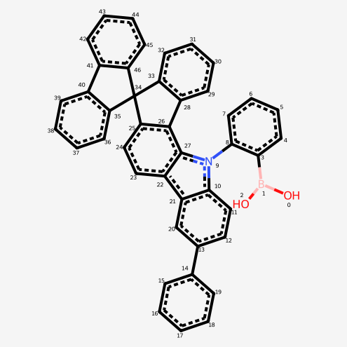 OB(O)c1ccccc1-n1c2ccc(-c3ccccc3)cc2c2ccc3c(c21)-c1ccccc1C31c2ccccc2-c2ccccc21